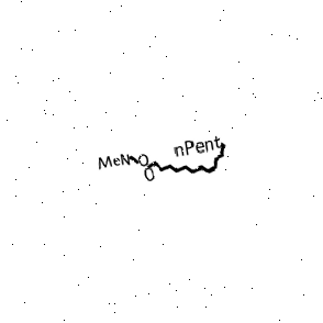 CCCCC/C=C\C/C=C\CCCCCCCC(=O)OCCNC